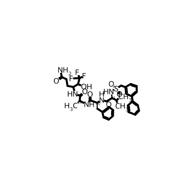 CC(C)[C@H](NS(=O)(=O)Cc1cccc(-c2ccccc2)c1)C(=O)N[C@@H](Cc1ccccc1)C(=O)N[C@@H](C)C(=O)NC(CCC(N)=O)C(O)C(F)(F)F